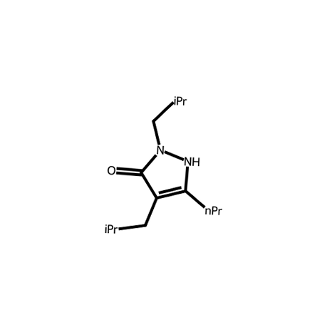 CCCc1[nH]n(CC(C)C)c(=O)c1CC(C)C